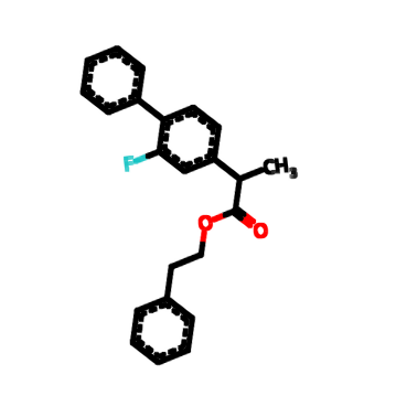 CC(C(=O)OCCc1ccccc1)c1ccc(-c2ccccc2)c(F)c1